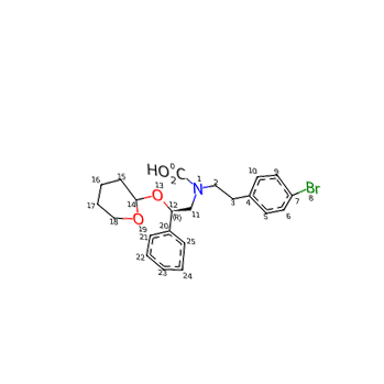 O=C(O)N(CCc1ccc(Br)cc1)C[C@H](OC1CCCCO1)c1ccccc1